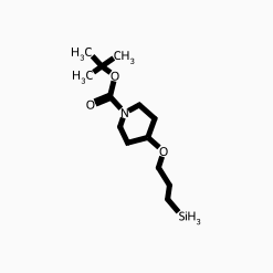 CC(C)(C)OC(=O)N1CCC(OCCC[SiH3])CC1